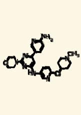 CN1CCC(Oc2ccc(Nc3cc(-c4ccc(N)nc4)nc(N4CCOCC4)n3)cn2)CC1